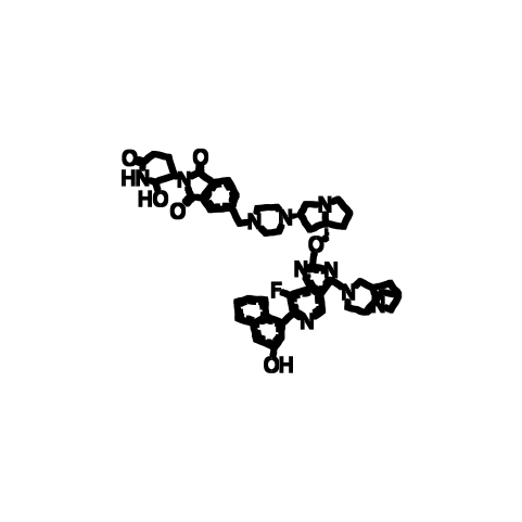 O=C1CCC(N2C(=O)c3ccc(CN4CCN([C@H]5CN6CCC[C@@]6(COc6nc(N7CC8CC9CC(C7)N8C9)c7cnc(-c8cc(O)cc9ccccc89)c(F)c7n6)C5)CC4)cc3C2=O)C(O)N1